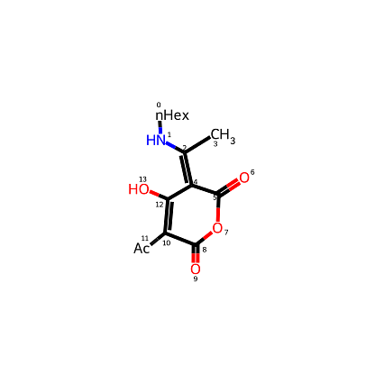 CCCCCCNC(C)=C1C(=O)OC(=O)C(C(C)=O)=C1O